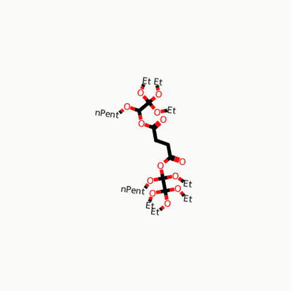 CCCCCOC(OC(=O)CCC(=O)OC(OCC)(OCCCCC)C(OCC)(OCC)OCC)C(OCC)(OCC)OCC